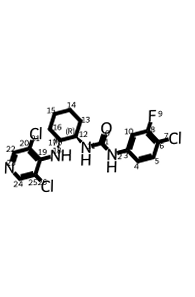 O=C(Nc1ccc(Cl)c(F)c1)N[C@@H]1CCCC[C@H]1Nc1c(Cl)cncc1Cl